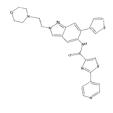 O=C(Nc1cc2cn(CCN3CCOCC3)nc2cc1-c1ccsc1)c1csc(-c2ccncc2)n1